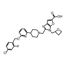 O=C(O)c1cc2nc(CN3CCC(c4cccc(OCc5ccc(Cl)cc5F)n4)CC3)n(CC3CCO3)c2o1